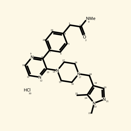 CNC(=O)Cc1ccc(-c2nccnc2N2CCN(Cc3cnn(C)c3C)CC2)cc1.Cl